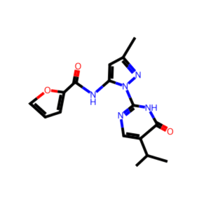 Cc1cc(NC(=O)c2ccco2)n(-c2ncc(C(C)C)c(=O)[nH]2)n1